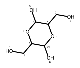 OCC1OC(O)C(CO)OC1O